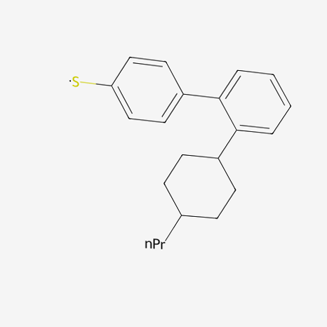 CCCC1CCC(c2ccccc2-c2ccc([S])cc2)CC1